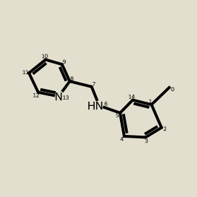 Cc1cccc(NCc2ccccn2)c1